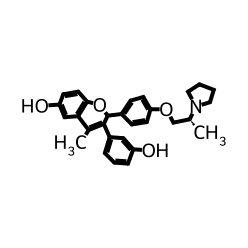 CC1=C(c2cccc(O)c2)C(c2ccc(OC[C@@H](C)N3CCCC3)cc2)Oc2ccc(O)cc21